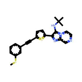 CSc1cccc(C#Cc2ccc(-c3nc4cnccn4c3NC(C)(C)C)s2)c1